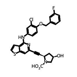 O=C(O)N1C[C@H](O)C[C@@H]1C#Cc1cc2sccc2c(Nc2ccc(OCc3cccc(F)c3)c(Cl)c2)n1